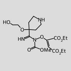 CCOC(=O)C=C(ON(C(=N)C1(OCCO)CCNCC1)C(=O)OC)C(=O)OCC